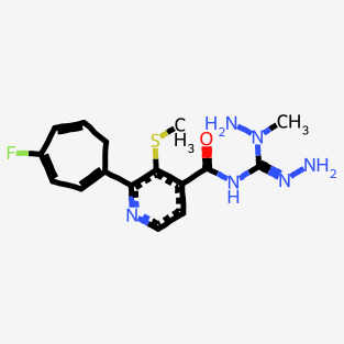 CSc1c(C(=O)N/C(=N/N)N(C)N)ccnc1C1=CC=C(F)C=CC1